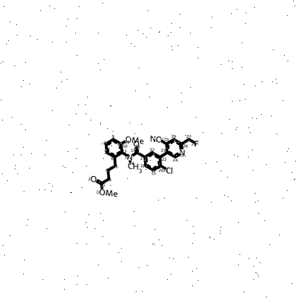 COC(=O)CCCc1cccc(OC)c1N(C)C(=O)c1ccc(Cl)c(-c2cnc(CF)cc2C#N)c1